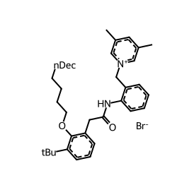 CCCCCCCCCCCCCCOc1c(CC(=O)Nc2ccccc2C[n+]2cc(C)cc(C)c2)cccc1C(C)(C)C.[Br-]